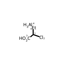 CCC(Cl)C(=O)O.[AlH3]